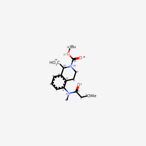 COCC(=O)N(C)c1cccc2c1CCN(C(=O)OC(C)(C)C)C2C(=O)O